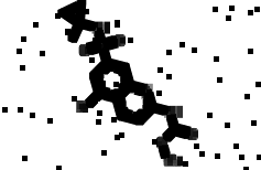 CC1(NS(=O)(=O)c2cc(Br)c3ccc(NC(=O)OC(C)(C)C)nc3c2)CC1